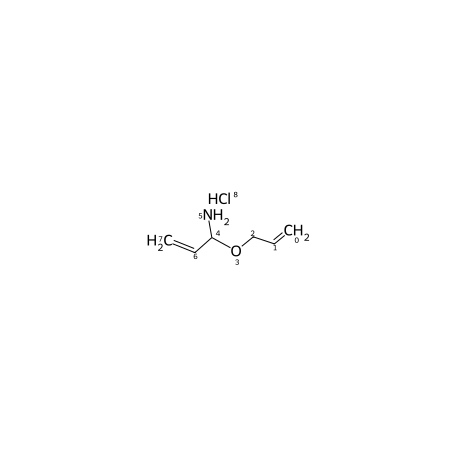 C=CCOC(N)C=C.Cl